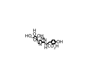 O=C(O)[C@@H](Cc1ccc(O)cc1)Nc1ncnc2c1ncn2[C@@H]1O[C@H](CO)[C@H](O)C1O